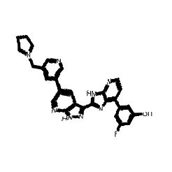 Oc1cc(F)cc(-c2ccnc3[nH]c(-c4n[nH]c5ncc(-c6cncc(CN7CCCC7)c6)cc45)nc23)c1